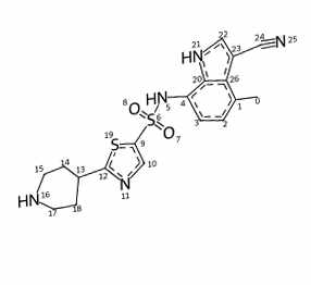 Cc1ccc(NS(=O)(=O)c2cnc(C3CCNCC3)s2)c2[nH]cc(C#N)c12